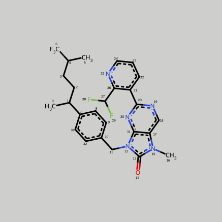 CC(CCC(C)C(F)(F)F)c1ccc(Cn2c(=O)n(C)c3cnc(-c4cccnc4C(F)F)nc32)cc1